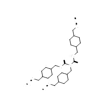 O=C=NCC1CCC(CNC(=O)N(CC2CCC(CN=C=O)CC2)C(=O)NCC2CCC(CN=C=O)CC2)CC1